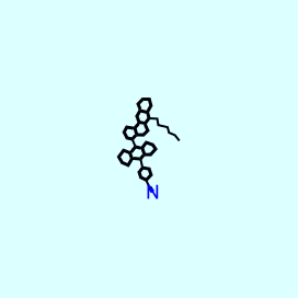 CCCCCCc1c2ccccc2cc2c1ccc1c(-c3c4ccccc4c(-c4ccc(C#N)cc4)c4ccccc34)cccc12